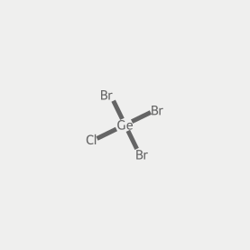 [Cl][Ge]([Br])([Br])[Br]